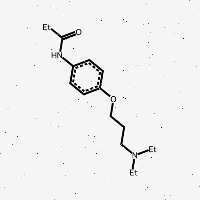 CCC(=O)Nc1ccc(OCCCN(CC)CC)cc1